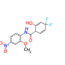 COc1cc([N+](=O)[O-])ccc1NC(=O)C1C=CC(F)(F)C=C1O